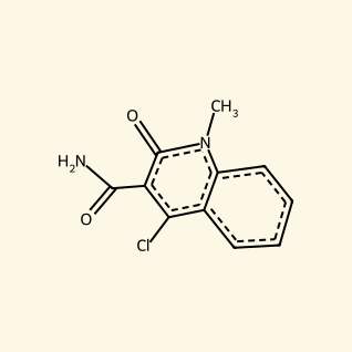 Cn1c(=O)c(C(N)=O)c(Cl)c2ccccc21